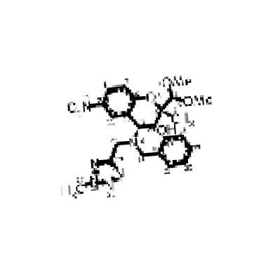 COC(OC)[C@@]1(C)Oc2ccc([N+](=O)[O-])cc2[C@H](N(Cc2ccccc2)Cc2nnn(C)n2)[C@H]1O